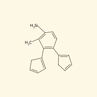 Cc1c([SiH3])ccc(C2=CC=CC2)c1C1=CC=CC1